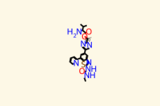 CCNC(=O)Nc1nc2cc(-c3cnc([C@@H](C)OC(=O)C(N)C(C)C)nc3)cc(-c3ccccn3)c2s1